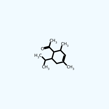 CC(=O)C1C(C)C=C(C)CC1C(C)C